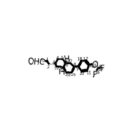 O=CCC[C@@H]1CC[C@@H]2CC(c3ccc(OC(F)F)cc3)CC[C@@H]2C1